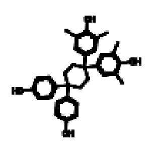 Cc1cc(C2(c3cc(C)c(O)c(C)c3)CCC(c3ccc(O)cc3)(c3ccc(O)cc3)CC2)cc(C)c1O